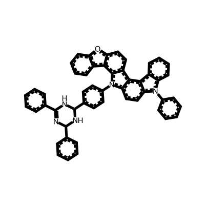 c1ccc(C2=NC(c3ccccc3)NC(c3ccc(-n4c5ccc6c(c7ccccc7n6-c6ccccc6)c5c5ccc6oc7ccccc7c6c54)cc3)N2)cc1